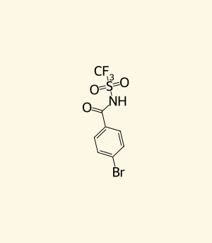 O=C(NS(=O)(=O)C(F)(F)F)c1ccc(Br)cc1